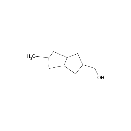 CC1CC2CC(CO)CC2C1